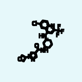 O=C(N[C@@H]1CCC[C@H](Nc2cc(C(F)(F)F)nc3ccc(Cl)cc23)C1)c1cnn(C2COC2)c1